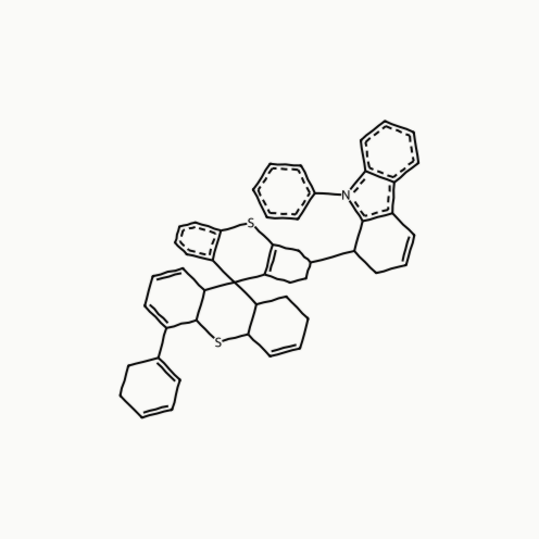 C1=CCCC(C2=CC=CC3C2SC2C=CCCC2C32C3=C(CC(C4CC=Cc5c4n(-c4ccccc4)c4ccccc54)CC3)Sc3ccccc32)=C1